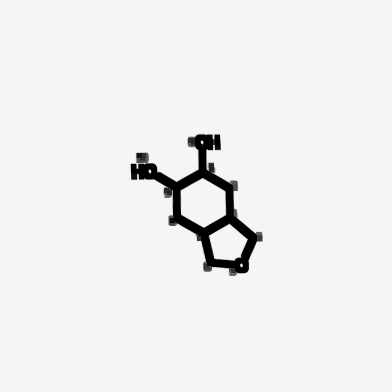 OC1CC2COCC2CC1O